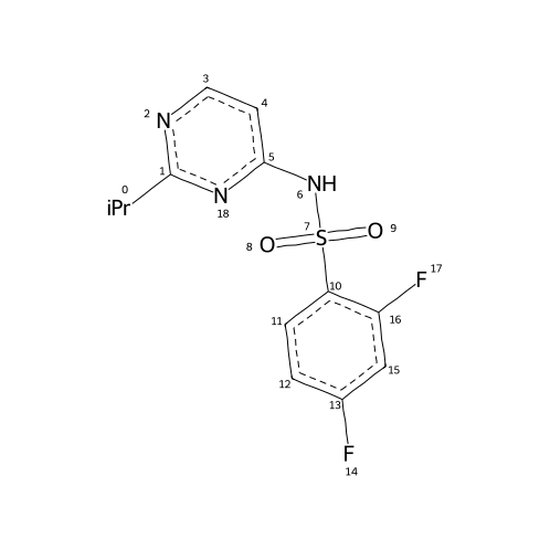 CC(C)c1nccc(NS(=O)(=O)c2ccc(F)cc2F)n1